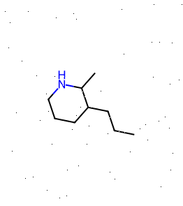 CCCC1CCCNC1C